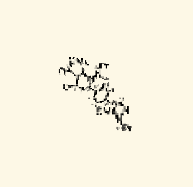 COC(=O)c1cn2c(cc1=O)-c1cc(OC)c(-c3cnn(C(C)C)c3)cc1CN2C(C)C